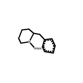 CCCCCCN1CCCCC1Cc1ccccc1